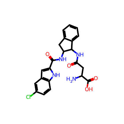 NC(CC(=O)NC1c2ccccc2CC1NC(=O)c1cc2cc(Cl)ccc2[nH]1)C(=O)O